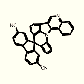 N#Cc1ccc2c(c1)C1(c3cc(C#N)ccc3-2)c2ccccc2-n2c3c1cccc3c1cnc3ccccc3c12